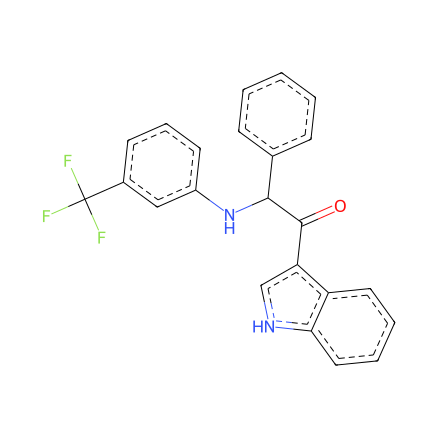 O=C(c1c[nH]c2ccccc12)C(Nc1cccc(C(F)(F)F)c1)c1ccccc1